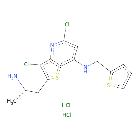 C[C@H](N)Cc1sc2c(NCc3cccs3)cc(Cl)nc2c1Cl.Cl.Cl